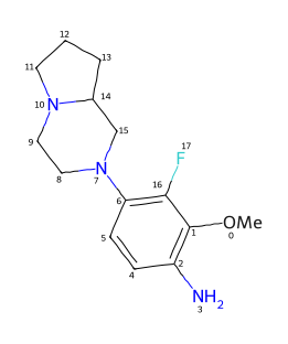 COc1c(N)ccc(N2CCN3CCCC3C2)c1F